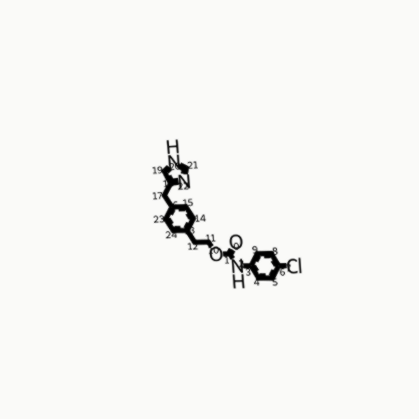 O=C(Nc1ccc(Cl)cc1)OCCc1ccc(Cc2c[nH]cn2)cc1